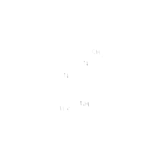 [CH2]n1cnc(NC)c1